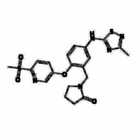 Cc1nsc(Nc2ccc(Oc3ccc(S(C)(=O)=O)nc3)c(CN3CCCC3=O)c2)n1